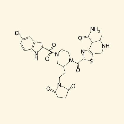 CC1NCc2sc(C(=O)N3CCN(S(=O)(=O)c4cc5cc(Cl)ccc5[nH]4)CC3CCN3C(=O)CCC3=O)nc2C1C(N)=O